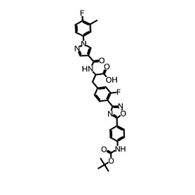 Cc1cc(-n2cc(C(=O)NC(Cc3ccc(-c4noc(-c5ccc(NC(=O)OC(C)(C)C)cc5)n4)c(F)c3)C(=O)O)cn2)ccc1F